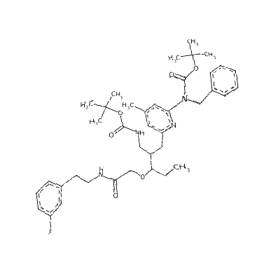 CCC(OCC(=O)NCCc1cccc(F)c1)C(CNC(=O)OC(C)(C)C)Cc1cc(C)cc(N(Cc2ccccc2)C(=O)OC(C)(C)C)n1